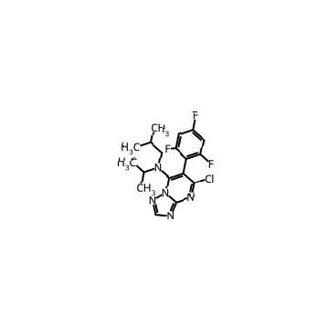 CC(C)CN(c1c(-c2c(F)cc(F)cc2F)c(Cl)nc2ncnn12)C(C)C